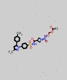 CCC(=O)OCO/N=[N+](\[O-])N1CC(C(=O)NS(=O)(=O)c2ccc(-n3nc(C(F)(F)F)cc3-c3ccc(C)cc3)cc2)C1